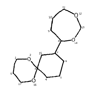 C1COC2(CCCC(C3CCCOCO3)C2)OC1